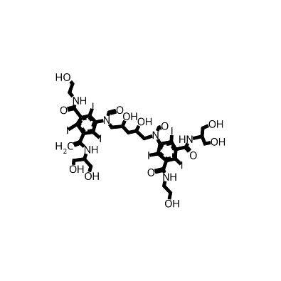 C=C(NC(CO)CO)c1c(I)c(C(=O)NCCO)c(I)c(N(C=O)CC(O)CC(O)CN(C=O)c2c(I)c(C(=O)NCCO)c(I)c(C(=O)NC(CO)CO)c2I)c1I